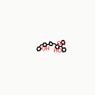 Oc1ccccc1Cc1ccc(-c2ccc(Cc3cccc(C(c4ccccc4)c4ccccc4O)c3O)cc2)cc1